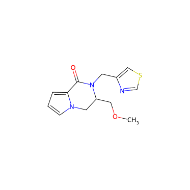 COCC1Cn2cccc2C(=O)N1Cc1cscn1